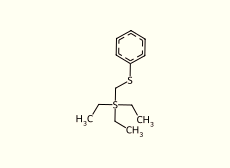 CCS(CC)(CC)CSc1ccccc1